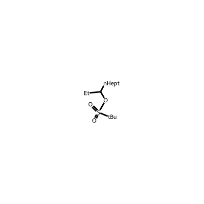 CCCCCCCC(CC)OS(=O)(=O)C(C)(C)C